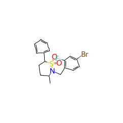 CC1CCC(c2ccccc2)S(=O)(=O)N1Cc1ccc(Br)cc1F